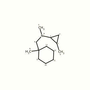 CC1CC1N(C)CC1(C)CCCCC1